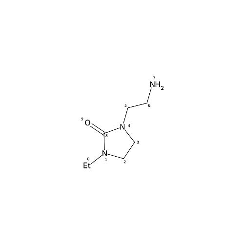 CCN1CCN(CCN)C1=O